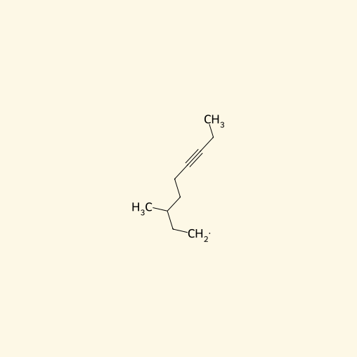 [CH2]CC(C)CCC#CCC